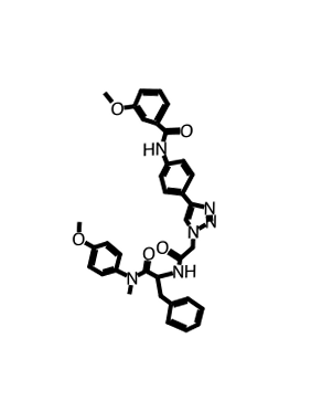 COc1ccc(N(C)C(=O)C(Cc2ccccc2)NC(=O)Cn2cc(-c3ccc(NC(=O)c4cccc(OC)c4)cc3)nn2)cc1